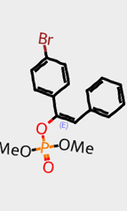 COP(=O)(OC)O/C(=C/c1ccccc1)c1ccc(Br)cc1